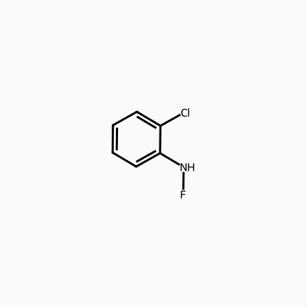 FNc1ccccc1Cl